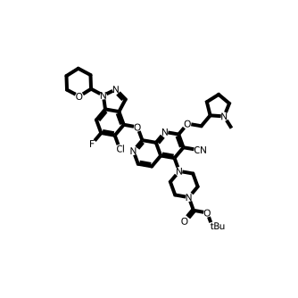 CN1CCCC1COc1nc2c(Oc3c(Cl)c(F)cc4c3cnn4C3CCCCO3)nccc2c(N2CCN(C(=O)OC(C)(C)C)CC2)c1C#N